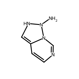 NN1NC=C2C=CN=CN21